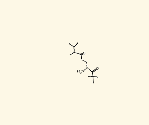 CC(C)C(C)C(=O)CCC(N)C(=O)C(C)(C)C